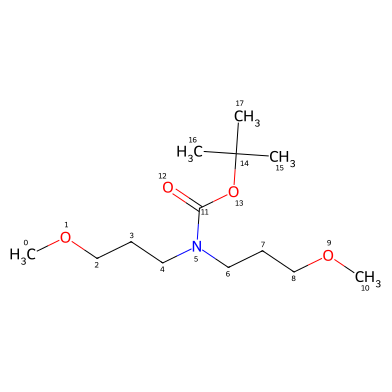 COCCCN(CCCOC)C(=O)OC(C)(C)C